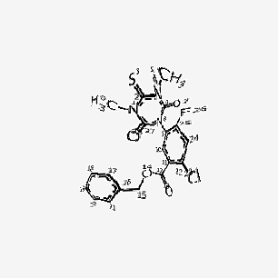 Cn1c(=S)n(C)c(=O)n(-c2cc(C(=O)OCc3ccccc3)c(Cl)cc2F)c1=O